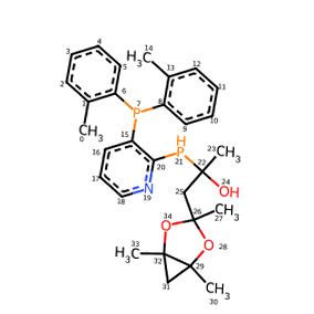 Cc1ccccc1P(c1ccccc1C)c1cccnc1PC(C)(O)CC1(C)OC2(C)CC2(C)O1